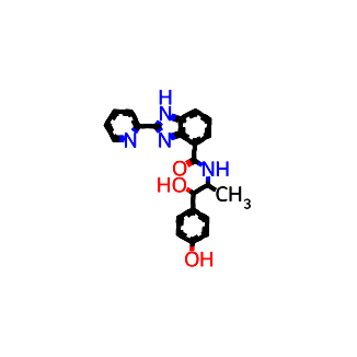 CC(NC(=O)c1cccc2[nH]c(-c3ccccn3)nc12)C(O)c1ccc(O)cc1